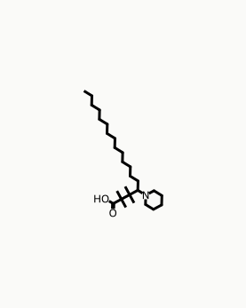 CCCCCCCCCCCCCCC(N1CCCCC1)C(C)(C)C(C)(C)C(=O)O